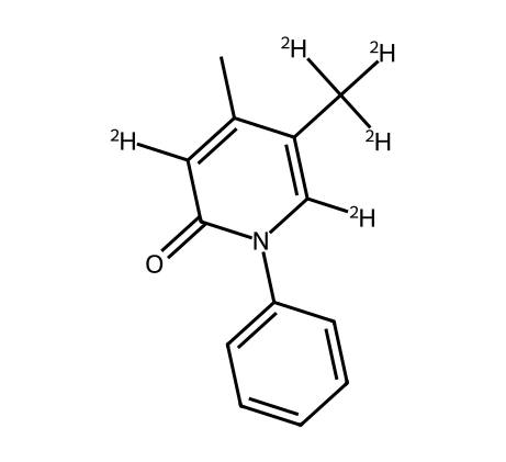 [2H]c1c(C)c(C([2H])([2H])[2H])c([2H])n(-c2ccccc2)c1=O